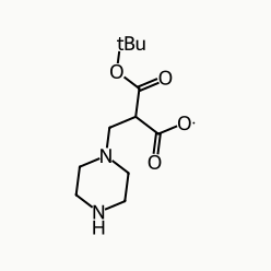 CC(C)(C)OC(=O)C(CN1CCNCC1)C([O])=O